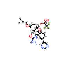 NC1=N[C@]2(CO1)c1cc(-c3cncnc3)ccc1O[C@H]1CC[C@H](OCC3CC3)C[C@@H]12.O=C(O)C(F)(F)F